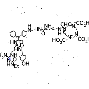 CCNC(=O)/N=C(/N)NCCC[C@@H](NC(=O)[C@@H](c1ccccc1)c1ccc(NCCCNC(=O)[C@H](N)CCCCNC(C=O)N2CCN(CC(=O)O)CCN(CC(=O)O)CCN(CC(=O)O)CC2)cc1)C(=O)NCc1ccc(O)cc1